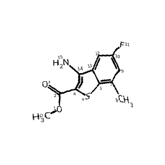 COC(=O)c1sc2c(C)cc(F)cc2c1N